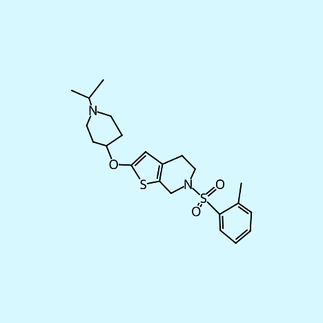 Cc1ccccc1S(=O)(=O)N1CCc2cc(OC3CCN(C(C)C)CC3)sc2C1